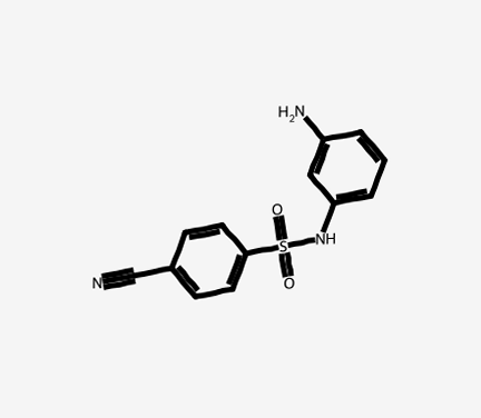 N#Cc1ccc(S(=O)(=O)Nc2cccc(N)c2)cc1